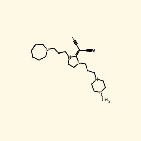 CN1CCN(CCCN2CCN(CCCN3CCCCCC3)C2=C(C#N)C#N)CC1